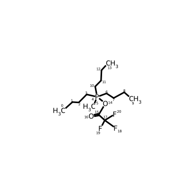 CCCCP(C)(CCCC)(CCCC)OC(=O)C(F)(F)F